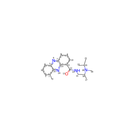 Cc1cccc2nc3cccc(C(=O)NCC(C)N(C)C(C)C)c3nc12